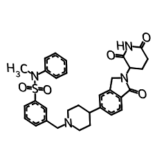 CN(c1ccccc1)S(=O)(=O)c1cccc(CN2CCC(c3ccc4c(c3)CN(C3CCC(=O)NC3=O)C4=O)CC2)c1